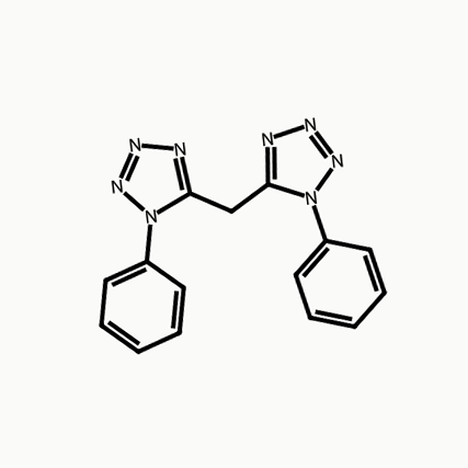 c1ccc(-n2nnnc2Cc2nnnn2-c2ccccc2)cc1